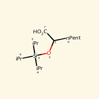 CCCCCC(O[Si](C(C)C)(C(C)C)C(C)C)C(=O)O